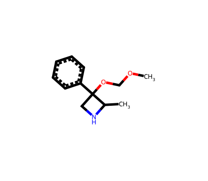 COCOC1(c2ccccc2)CNC1C